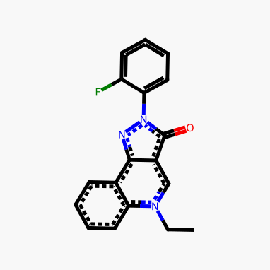 CCn1cc2c(=O)n(C3=CC=C=C=C3F)nc-2c2ccccc21